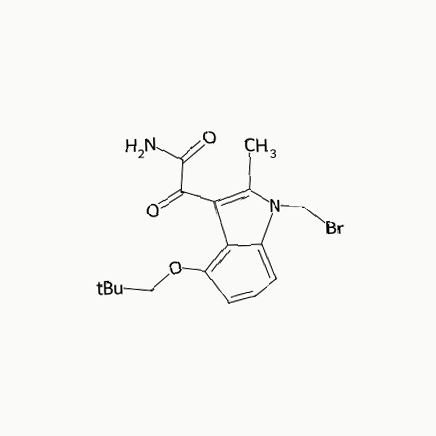 Cc1c(C(=O)C(N)=O)c2c(OCC(C)(C)C)cccc2n1CBr